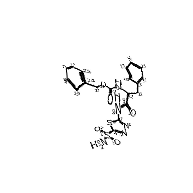 NS(=O)(=O)c1nnc(NC(=O)C(Cc2ccccc2)NC(=O)OCc2ccccc2)s1